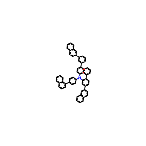 c1ccc(-c2ccc(-c3ccc4ccccc4c3)cc2N(c2ccc(-c3cccc(-c4ccc5ccccc5c4)c3)cc2)c2ccc(-c3cccc4ccccc34)cc2)cc1